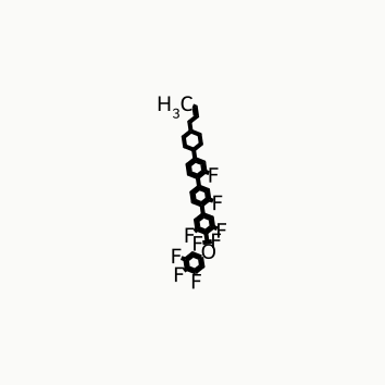 C/C=C\CC1CCC(c2ccc(-c3ccc(-c4cc(F)c(C(F)(F)Oc5cc(F)c(F)c(F)c5)c(F)c4)c(F)c3)c(F)c2)CC1